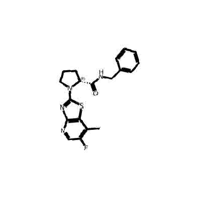 Cc1c(F)cnc2nc(N3CCC[C@@H]3C(=O)NCc3ccccc3)sc12